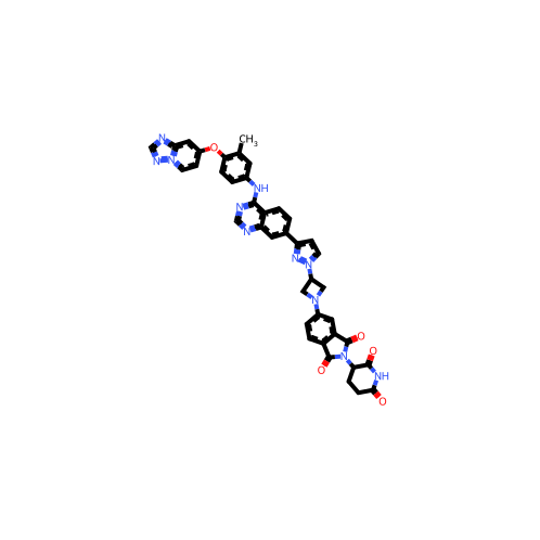 Cc1cc(Nc2ncnc3cc(-c4ccn(C5CN(c6ccc7c(c6)C(=O)N(C6CCC(=O)NC6=O)C7=O)C5)n4)ccc23)ccc1Oc1ccn2ncnc2c1